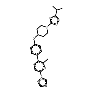 Cc1nc(-n2cncn2)ccc1-c1ccc(OC2CCN(c3nc(C(C)C)no3)CC2)cc1